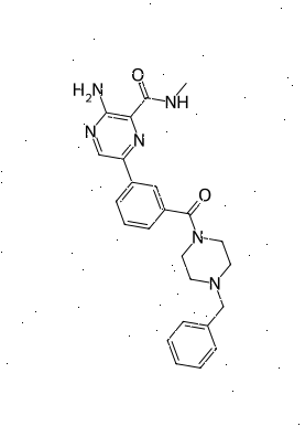 CNC(=O)c1nc(-c2cccc(C(=O)N3CCN(Cc4ccccc4)CC3)c2)cnc1N